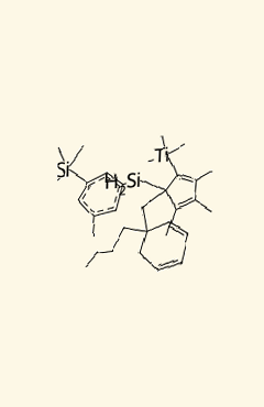 CCCCC1(CC2([SiH2]c3cc(C)cc([Si](C)(C)C)c3)C(C)=C(C)C(C)=[C]2[Ti]([CH3])([CH3])[CH3])C=CC=CC1